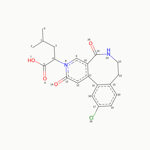 CC(C)CC(C(=O)O)n1cc2c(cc1=O)-c1cc(Cl)ccc1CCNC2=O